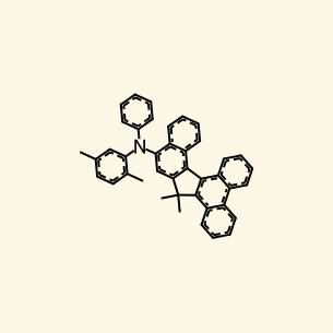 Cc1ccc(C)c(N(c2ccccc2)c2cc3c(c4ccccc24)-c2c(c4ccccc4c4ccccc24)C3(C)C)c1